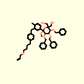 C=CCOCCCCc1ccc(Cc2cc([C@]3(OC)OC(CO)(CO)[C@@H](OCc4ccccc4)[C@H](OCc4ccccc4)[C@H]3OCc3ccccc3)ccc2C)cc1